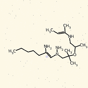 CC=C(C)NCC(C)OC(C)(C)CN(N)/C=C(\N)CCCCC